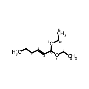 CCC/C=C/C(OCC)OCC